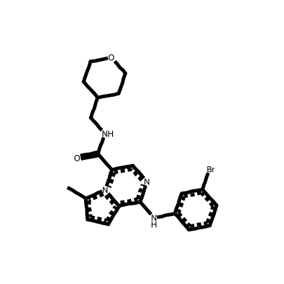 Cc1ccc2c(Nc3cccc(Br)c3)ncc(C(=O)NCC3CCOCC3)n12